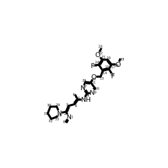 C=N/C(=C\C=C(/C)Nc1ncc(OCc2c(F)c(OC)cc(OC)c2F)cn1)N1CCCCC1